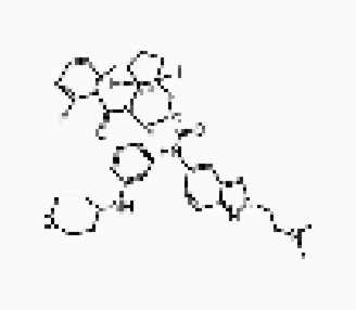 Cc1cccc(F)c1C(=O)N1[C@@H]2CCC[C@@H]2C[C@H](C(=O)Nc2ccc3nn(CCN(C)C)cc3c2)[C@@H]1c1ccc(NC2CCOCC2)cc1